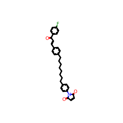 O=C(C=Cc1ccc(CCCCCCCCc2ccc(N3C(=O)C=CC3=O)cc2)cc1)c1ccc(F)cc1